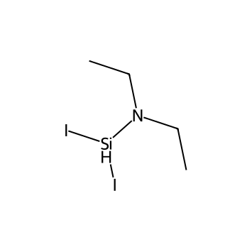 CCN(CC)[SiH](I)I